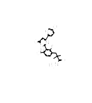 CC(C)(Cc1ccc(Cl)c(-c2nc(-c3ccc(Cl)cn3)cc(=O)[nH]2)c1F)C(N)=O